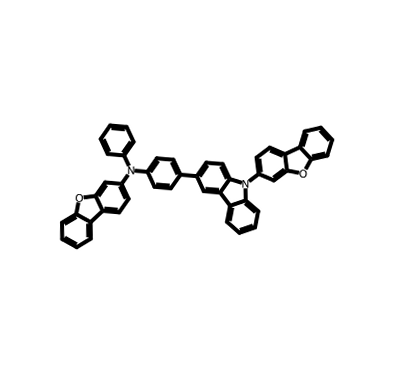 c1ccc(N(c2ccc(-c3ccc4c(c3)c3ccccc3n4-c3ccc4c(c3)oc3ccccc34)cc2)c2ccc3c(c2)oc2ccccc23)cc1